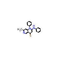 Cc1cc2c(cn1)c(=S)cc(Nc1ccccc1)n2-c1ccccc1